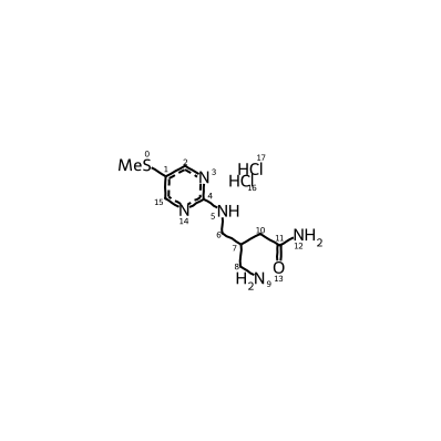 CSc1cnc(NCC(CN)CC(N)=O)nc1.Cl.Cl